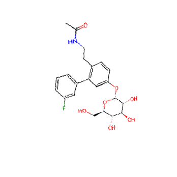 CC(=O)NCCc1ccc(OC2O[C@H](CO)[C@@H](O)[C@H](O)[C@H]2O)cc1-c1cccc(F)c1